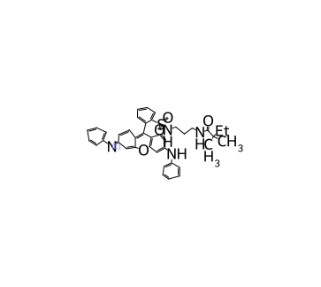 CCC(C)(C)C(=O)NCCCNS(=O)(=O)c1ccccc1-c1c2cc/c(=N\c3ccccc3)cc-2oc2cc(Nc3ccccc3)ccc12